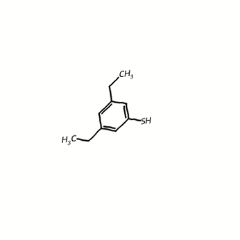 CCc1cc(S)cc(CC)c1